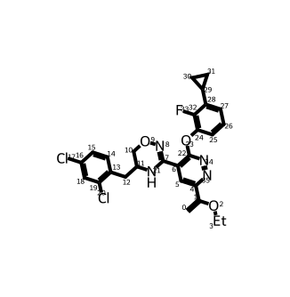 C=C(OCC)c1cc(C2=NOCC(Cc3ccc(Cl)cc3Cl)N2)c(Oc2cccc(C3CC3)c2F)nn1